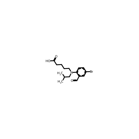 CC(C)CN(CCCCC(=O)O)c1ccc(Br)cc1C=O